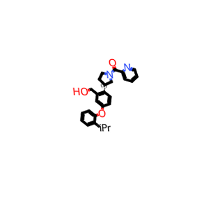 CC(C)c1ccccc1Oc1ccc([C@@H]2CCN(C(=O)c3ccccn3)C2)c(CO)c1